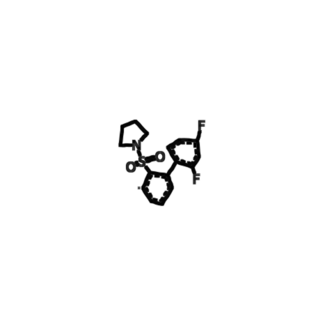 O=S(=O)(c1[c]cccc1-c1ccc(F)cc1F)N1CCCC1